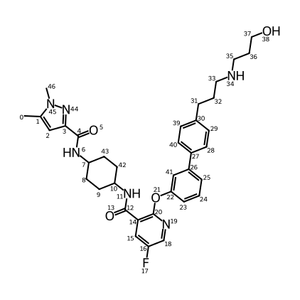 Cc1cc(C(=O)NC2CCC(NC(=O)c3cc(F)cnc3Oc3cccc(-c4ccc(CCCNCCCO)cc4)c3)CC2)nn1C